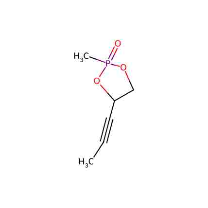 CC#CC1COP(C)(=O)O1